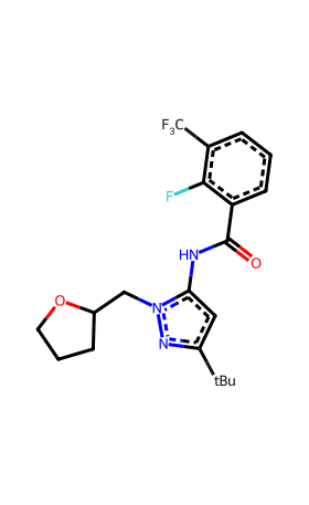 CC(C)(C)c1cc(NC(=O)c2cccc(C(F)(F)F)c2F)n(CC2CCCO2)n1